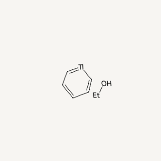 C1=C[CH]=[Tl][CH]=C1.CCO